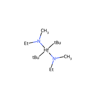 CC[N](C)[Hf]([N](C)CC)([C](C)(C)C)[C](C)(C)C